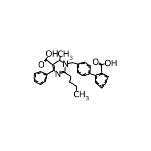 CCCCC1=NC(c2ccccc2)=C(C(=O)O)C(C)N1Cc1ccc(-c2ccccc2C(=O)O)cc1